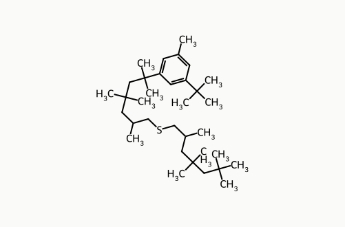 Cc1cc(C(C)(C)C)cc(C(C)(C)CC(C)(C)CC(C)CSCC(C)CC(C)(C)CC(C)(C)C)c1